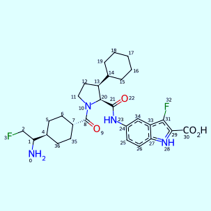 NC(CF)[C@H]1CC[C@H](C(=O)N2CC[C@@H](C3CCCCC3)[C@H]2C(=O)Nc2ccc3[nH]c(C(=O)O)c(F)c3c2)CC1